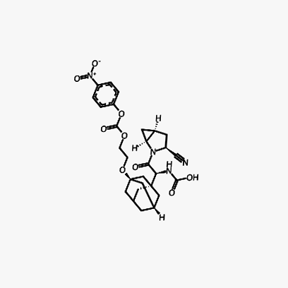 N#C[C@@H]1C[C@@H]2C[C@@H]2N1C(=O)[C@@H](NC(=O)O)[C@]12CC3C[C@H](C[C@](OCCOC(=O)Oc4ccc([N+](=O)[O-])cc4)(C3)C1)C2